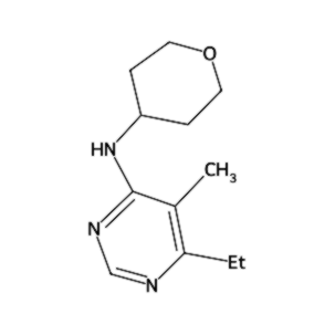 CCc1ncnc(NC2CCOCC2)c1C